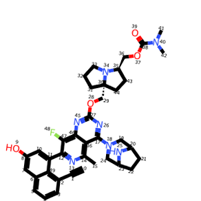 C#Cc1cccc2cc(O)cc(-c3nc(C)c4c(N5CC6CCC(C5)N6)nc(OC[C@]56CCCN5[C@@H](COC(=O)N(C)C)CC6)nc4c3F)c12